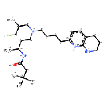 COC(CF)CN(CCCCc1ccc2c(n1)NCCC2)CCC(NC(=O)CC(C)(C)C(F)(F)F)C(=O)O